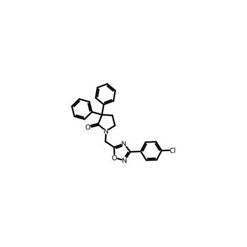 O=C1N(Cc2nc(-c3ccc(Cl)cc3)no2)CCC1(c1ccccc1)c1ccccc1